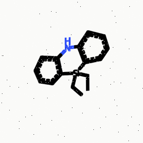 CC[Si]1(CC)c2ccccc2Nc2ccccc21